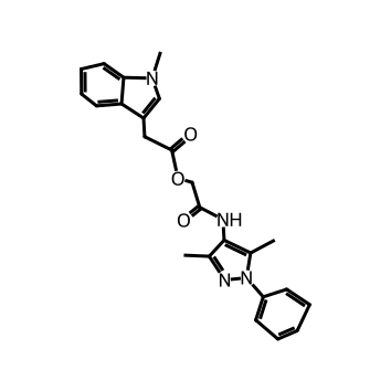 Cc1nn(-c2ccccc2)c(C)c1NC(=O)COC(=O)Cc1cn(C)c2ccccc12